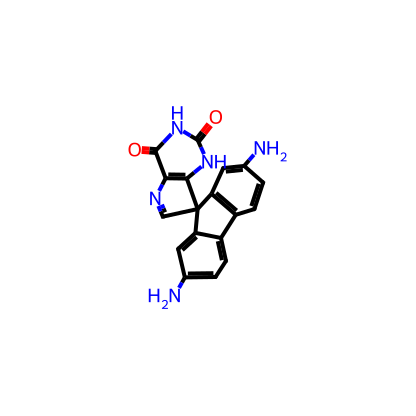 Nc1ccc2c(c1)C1(C=Nc3c1[nH]c(=O)[nH]c3=O)c1cc(N)ccc1-2